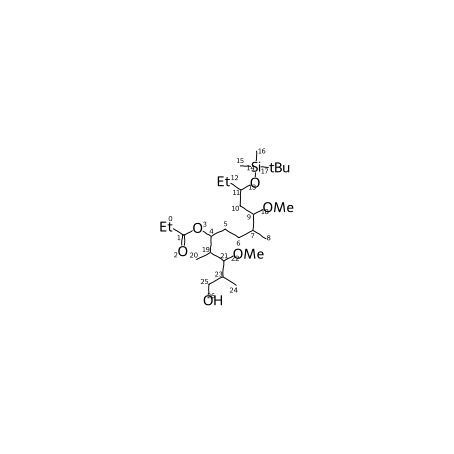 CCC(=O)OC(CCC(C)C(CC(CC)O[Si](C)(C)C(C)(C)C)OC)C(C)C(OC)C(C)CO